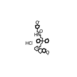 COc1ccc(CC(=O)NCCCC(CCCN2CCCCC23CCc2cc(OC)ccc2C3)(c2ccccc2)c2ccccc2)cc1.Cl